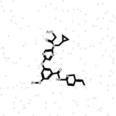 C/C=C1\C=CC(NC(=O)c2cc(Oc3cnc(N(CC4CC4)C(=O)COC(C)=O)cn3)cc(OC(C)C)c2)=NC1